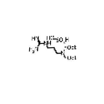 CCCCCCCCN(CCCCCCCC)CCCNC(=N)N.O=S(=O)(O)O